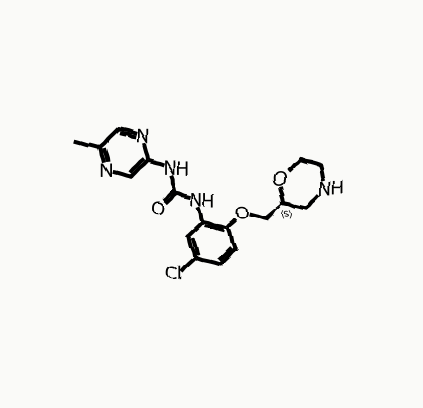 Cc1cnc(NC(=O)Nc2cc(Cl)ccc2OC[C@@H]2CNCCO2)cn1